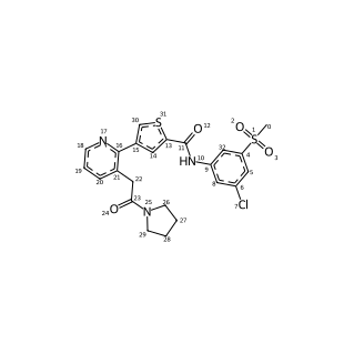 CS(=O)(=O)c1cc(Cl)cc(NC(=O)c2cc(-c3ncccc3CC(=O)N3CCCC3)cs2)c1